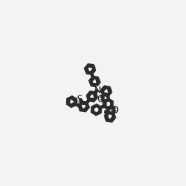 CC12C=CC=CC1OC1=C2C(C2CCCCC2)=C2Oc3c(cccc3N(c3ccc(-c4ccccc4)cc3)c3ccc(-c4cccc5c4sc4ccccc45)cc3)C2C1